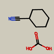 N#CC1CCCCC1.O=C(O)O